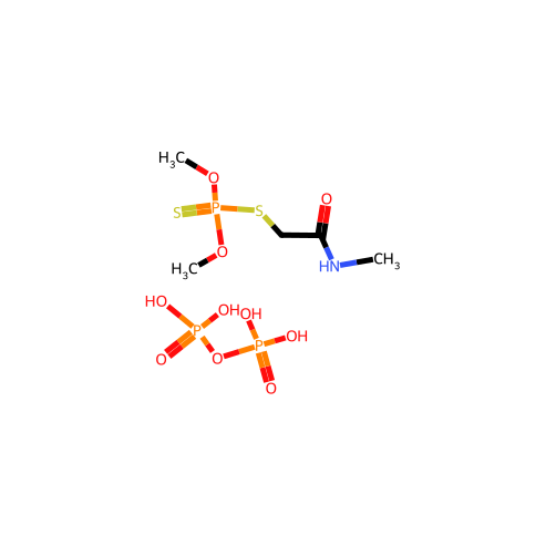 CNC(=O)CSP(=S)(OC)OC.O=P(O)(O)OP(=O)(O)O